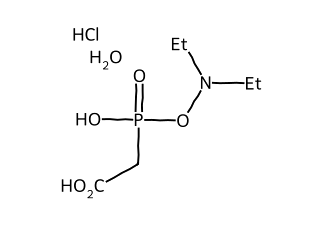 CCN(CC)OP(=O)(O)CC(=O)O.Cl.O